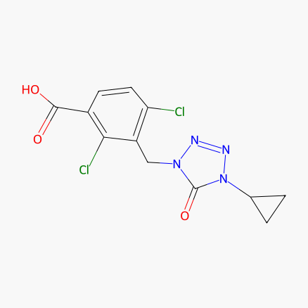 O=C(O)c1ccc(Cl)c(Cn2nnn(C3CC3)c2=O)c1Cl